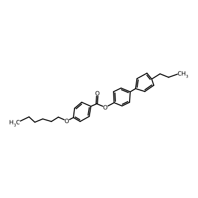 CCCCCCOc1ccc(C(=O)Oc2ccc(-c3ccc(CCC)cc3)cc2)cc1